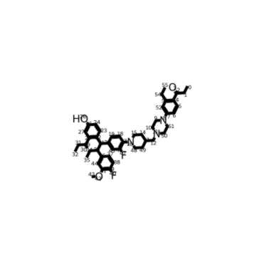 CCC(=O)c1ccc(N2CCN(CC3CCN(c4ccc(C(c5ccc(O)cc5C(C)CC)C(CC)c5ccc(F)c(OC)c5)cc4F)CC3)CC2)cc1CC